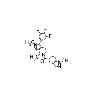 C[C@H]1c2nn(C)c(-c3cc(F)c(F)c(F)c3)c2CCN1C(=O)c1ccc2c(cnn2C)c1